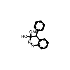 COC1(O)N=Nc2ccccc2C1c1ccccc1